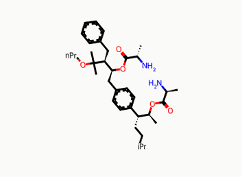 CCCOC(C)(C)[C@@H](Cc1ccccc1)[C@H](Cc1ccc([C@@H](CCC(C)C)[C@H](C)OC(=O)[C@H](C)N)cc1)OC(=O)[C@H](C)N